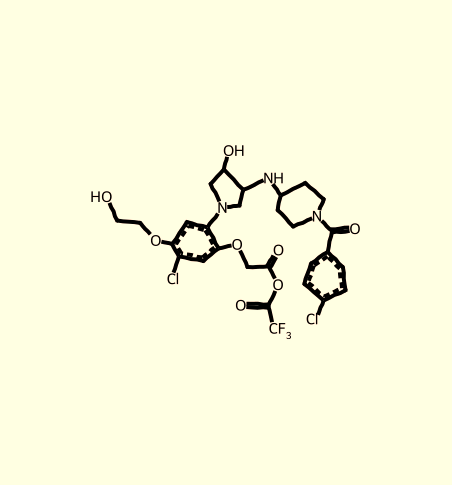 O=C(COc1cc(Cl)c(OCCO)cc1N1CC(O)C(NC2CCN(C(=O)c3ccc(Cl)cc3)CC2)C1)OC(=O)C(F)(F)F